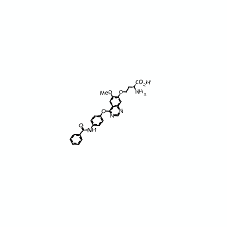 COc1cc2c(Oc3ccc(NC(=O)c4ccccc4)cc3)ncnc2cc1OCCC(N)C(=O)O